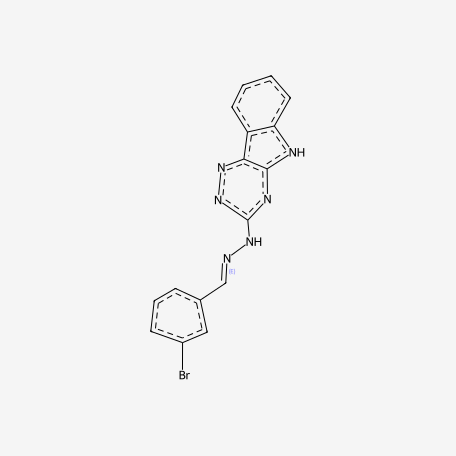 Brc1cccc(/C=N/Nc2nnc3c(n2)[nH]c2ccccc23)c1